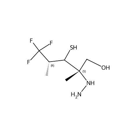 C[C@@H](C(S)[C@](C)(CO)NN)C(F)(F)F